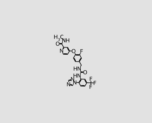 CNC(=O)c1cc(Oc2ccc(CNC(=O)Nc3cc(C(F)(F)F)ccc3-n3cncn3)cc2F)ccn1